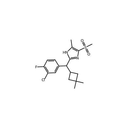 Cc1[nH]c(C(c2ccc(F)c(Cl)c2)C2CC(C)(C)C2)nc1S(C)(=O)=O